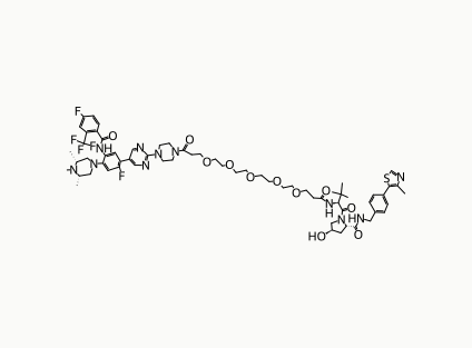 Cc1ncsc1-c1ccc(CNC(=O)[C@@H]2C[C@@H](O)CN2C(=O)[C@@H](NC(=O)CCOCCOCCOCCOCCOCCC(=O)N2CCN(c3ncc(-c4cc(NC(=O)c5ccc(F)cc5C(F)(F)F)c(N5C[C@@H](C)N(C)[C@@H](C)C5)cc4F)cn3)CC2)C(C)(C)C)cc1